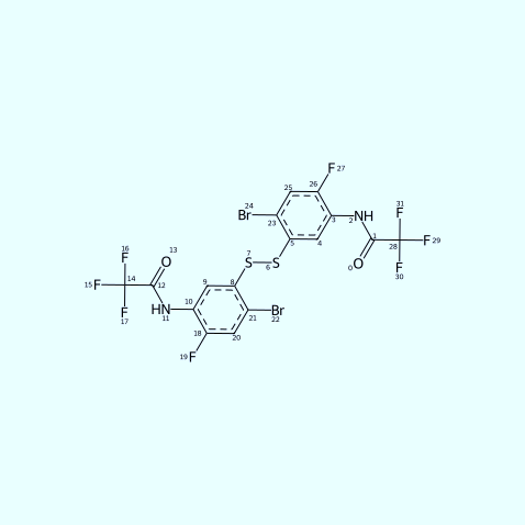 O=C(Nc1cc(SSc2cc(NC(=O)C(F)(F)F)c(F)cc2Br)c(Br)cc1F)C(F)(F)F